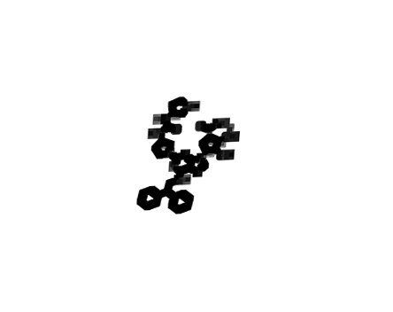 NC(=O)[C@H]1C[C@@H](n2cnc3c(NCC(c4ccccc4)c4ccccc4)nc(N4CC[C@@H](NC(=O)N[C@@H]5CCNC5)C4)nc32)[C@H](O)[C@@H]1O